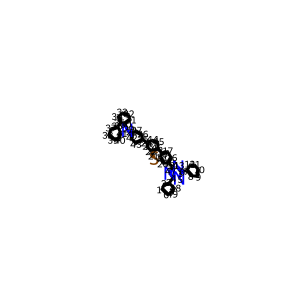 c1ccc(-c2nc(-c3ccccc3)nc(-c3ccc4c(c3)sc3cc(-c5ccc(-n6c7ccccc7c7ccccc76)cc5)ccc34)n2)cc1